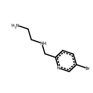 NCCNCc1ccc(Br)cn1